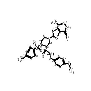 Cc1n[nH]c(=O)c2sc(N3CCN(S(=O)(=O)c4ccc(C(F)(F)F)cc4)[C@@H](C(=O)NCc4ccc(OC(F)(F)F)cc4)C3)nc12